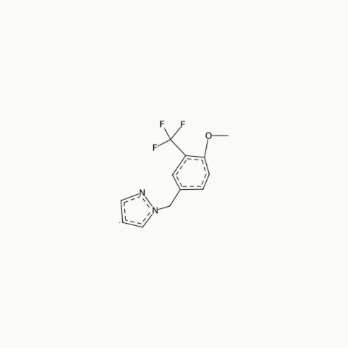 COc1ccc(Cn2c[c]cn2)cc1C(F)(F)F